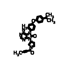 CC#CC(=O)N1CC[C@@H](n2c(=O)n(-c3ccc(Oc4ccc(C(C)C)cc4)cc3)c3c(N)ncnc32)C1